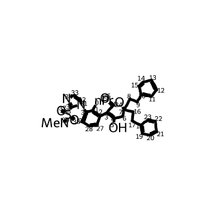 CCCc1c(C2=C(O)CC(CCc3ccccc3)(CCc3ccccc3)OC2=O)cccc1-n1ccnc1S(=O)(=O)NC